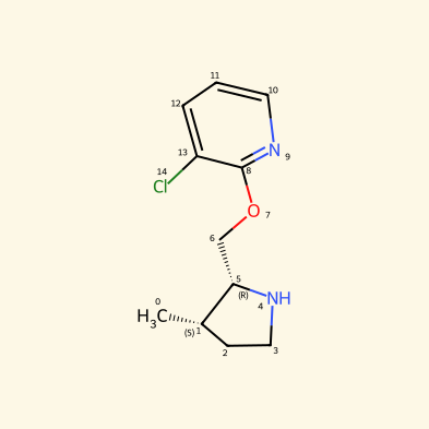 C[C@H]1CCN[C@H]1COc1ncccc1Cl